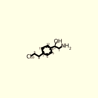 NC[C@H](O)c1ccc(CCCl)cc1